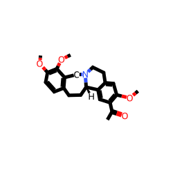 COc1cc2c(cc1C(C)=O)[C@@H]1CCc3ccc(OC)c(OC)c3CN1CC2